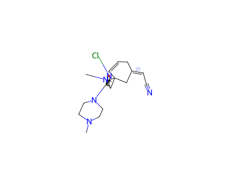 CN1CCN(C2=C3CN(C)CC34C/C(=C\C#N)CC=C4N(Cl)C=C2)CC1